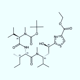 CCOC(=O)c1csc([C@H](O)C[C@H](C(C)C)N(C)C(=O)[C@@H](NC(=O)[C@@H](C(C)C)N(C)C(=O)OC(C)(C)C)[C@@H](C)CC)n1